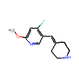 COc1cc(F)c(C=C2CCNCC2)cn1